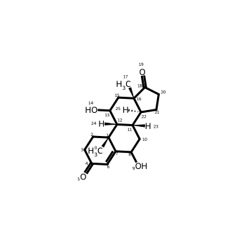 C[C@]12CCC(=O)C=C1C(O)C[C@@H]1[C@H]2C(O)C[C@]2(C)C(=O)CC[C@@H]12